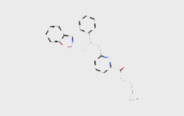 Cl.NC(Cc1cccc(C(=O)NCC2CC2)n1)c1ccccc1-c1noc2ccccc12